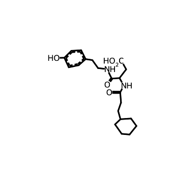 O=C(O)CC(NC(=O)CCC1CCCCC1)C(=O)NCCc1ccc(O)cc1